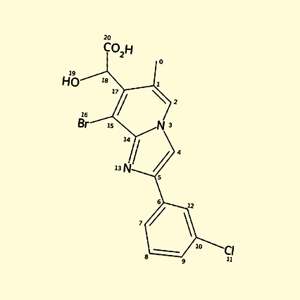 Cc1cn2cc(-c3cccc(Cl)c3)nc2c(Br)c1C(O)C(=O)O